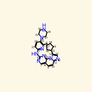 Cc1nc(Nc2ncc3ccc4ncc(C5CCCC5)n4c3n2)ccc1N1CCNCC1